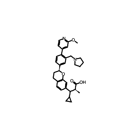 COc1cc(-c2ccc([C@@H]3CCc4ccc(C(C5CC5)[C@H](C)C(=O)O)cc4O3)cc2CN2CCCC2)ccn1